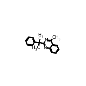 Cc1nc(C(C)(C)c2ccccc2)nc2ccccc12